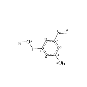 C=Cc1cc(O)cc(COC)c1